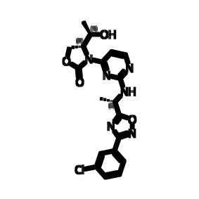 C[C@H](Nc1nccc(N2C(=O)OC[C@@H]2[C@@H](C)O)n1)c1nc(-c2cccc(Cl)c2)no1